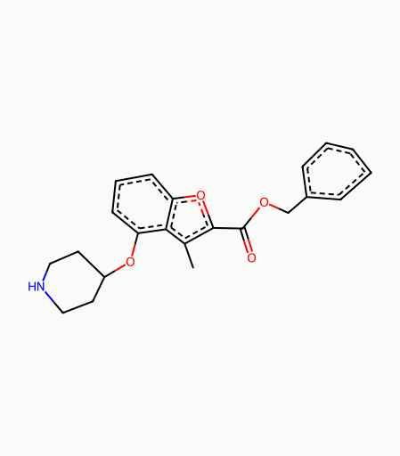 Cc1c(C(=O)OCc2ccccc2)oc2cccc(OC3CCNCC3)c12